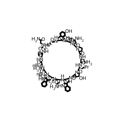 CCCC[C@H]1C(=O)N[C@@H](CC(C)C)C(=O)N[C@H](C(=O)NCC(N)=O)CSCC(=O)N[C@@H](Cc2ccc(O)cc2)C(=O)N(C)[C@@H](C)C(=O)N[C@@H](CC(N)=O)C(=O)N2CCCC2C(=O)N[C@@H](CN)C(=O)N[C@@H](CC(C)C)C(=O)N2C[C@H](O)C[C@H]2C(=O)N[C@@H](Cc2c[nH]c3ccccc23)C(=O)N[C@@H](CCN)C(=O)N(C)[C@@H](Cc2c[nH]c3ccccc23)C(=O)N(C)[C@@H](CCCC)C(=O)N1C